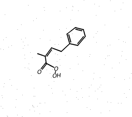 CC(=CCc1ccccc1)C(=O)OO